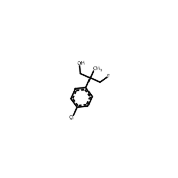 CC(CO)(CF)c1ccc(Cl)cc1